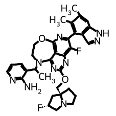 Cc1cc2[nH]ncc2c(-c2nc3c4c(nc(OC[C@@]56CCCN5C[C@H](F)C6)nc4c2F)N(C(C)c2cccnc2N)CCO3)c1C